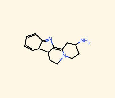 NC1CCN2CCC3C(=C2C1)N=C1C=CC=CC13